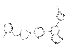 Cn1cc(-c2cc(-c3ccc(N4CCN(Cc5ccccc5F)CC4)nc3)c3cncnc3c2)cn1